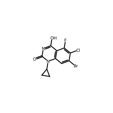 O=c1nc(O)c2c(F)c(Cl)c(Br)cc2n1C1CC1